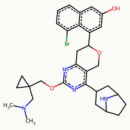 CN(C)CC1(COc2nc3c(c(C4CC5CCC(C4)N5)n2)COC(c2cc(O)cc4cccc(Br)c24)C3)CC1